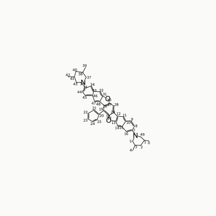 CC1CC(C)CN(c2ccc3cc4c(cc3c2)oc2c(-c3ccccc3)c3c(cc24)oc2cc4cc(N5CC(C)CC(C)C5)ccc4cc23)C1